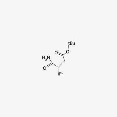 CC(C)[C@@H](CC(=O)OC(C)(C)C)C(N)=O